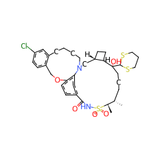 C[C@@H]1[C@@H](C)CCC[C@](O)(C2SCCCS2)[C@@H]2CC[C@H]2CN2CCCCc3cc(Cl)ccc3COc3ccc(cc32)C(=O)NS1(=O)=O